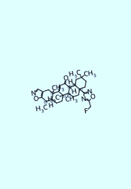 C[C@@H]1c2oncc2C[C@]2(C)C3=CC(=O)[C@@H]4[C@@H]5CC(C)(C)CC[C@]5(c5noc(CF)n5)CC[C@@]4(C)[C@]3(C)CC[C@@H]12